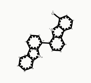 Clc1cccc2c1oc1c(-c3cccc4c3oc3ccccc34)cccc12